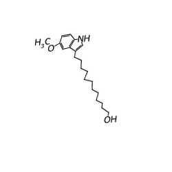 COc1ccc2[nH]cc(CCCCCCCCCCCCO)c2c1